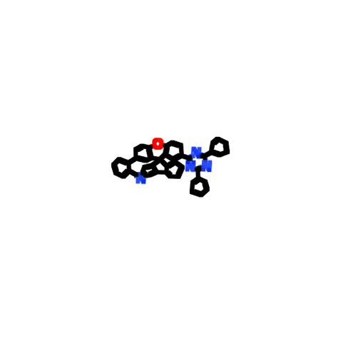 N#Cc1ccccc1-c1ccc2c(c1)C1(c3cc(-c4nc(-c5ccccc5)nc(-c5ccccc5)n4)ccc3O2)c2ccccc2-c2ccccc21